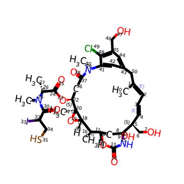 C/C1=C\C=C\[C@@H](CO)[C@@]2(O)C[C@H](OC(=O)N2)[C@@H](C)[C@@H]2O[C@@]2(C)[C@@H](OC(=O)[C@@H](C)N(C)C(=O)C(I)CS)CC(=O)N(C)c2cc(cc(CO)c2Cl)C1